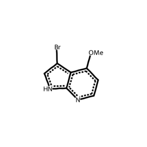 COc1ccnc2[nH]cc(Br)c12